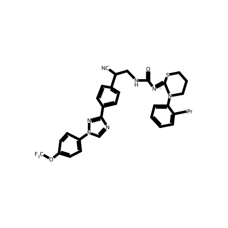 CC(C)c1ccccc1N1CCCS/C1=N\C(=O)NCC(C#N)c1ccc(-c2ncn(-c3ccc(OC(F)(F)F)cc3)n2)cc1